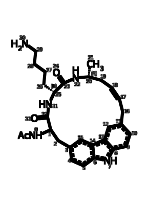 CC(=O)NC1Cc2ccc3[nH]c4ccc(cc4c3c2)CC=CC[C@@H](C)NC(=O)[C@@H](CCCCN)NC1=O